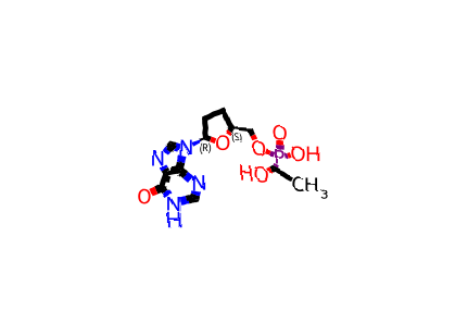 CC(O)P(=O)(O)OC[C@@H]1CC[C@H](n2cnc3c(=O)[nH]cnc32)O1